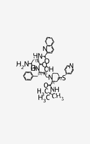 CC(C)(C)NC(=O)[C@@H]1C[C@H](Sc2ccncc2)CCN1C[C@@H](O)[C@H](Cc1ccccc1)NC(=O)[C@H](CC(N)=O)NC(=O)c1ccc2ccccc2n1